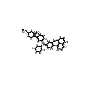 Brc1ccc2c(c1)oc1ccc(N(c3ccccc3)c3ccc4c(c3)Sc3cccc5cccc-4c35)cc12